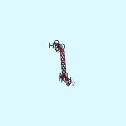 Nc1ncnc2c1c(-c1ccc(Oc3ccccc3)cc1)nn2C1CCN(C2CCN(C3CCN(C4CCN(C5CCN(c6ccc7c(c6)C(=O)N(C6CCC(=O)NC6=O)C7=O)CC5)CC4)CC3)CC2)CC1